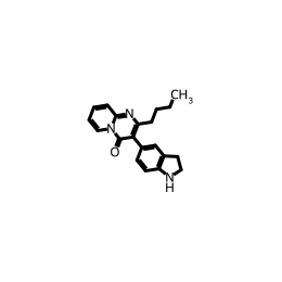 CCCCc1nc2ccccn2c(=O)c1-c1ccc2c(c1)CCN2